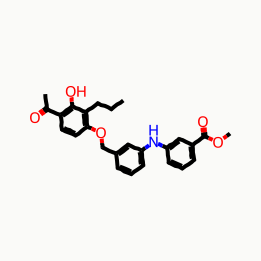 CCCc1c(OCc2cccc(Nc3cccc(C(=O)OC)c3)c2)ccc(C(C)=O)c1O